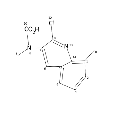 Cc1cccc2cc(N(C)C(=O)O)c(Cl)nc12